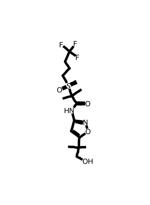 C=S(=O)(CCCC(F)(F)F)C(C)(C)C(=O)Nc1cc(C(C)(C)CO)on1